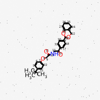 CC(C)(C)c1ccc(OCC(=O)NCC(=O)c2ccc(C3OCc4ccccc4O3)cc2)cc1